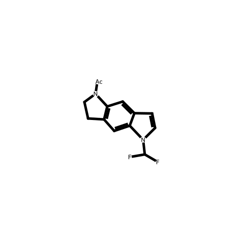 CC(=O)N1CCc2cc3c(ccn3C(F)F)cc21